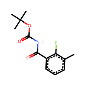 Cc1cccc(C(=O)NC(=O)OC(C)(C)C)c1F